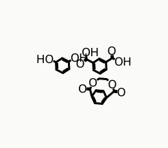 O=C(O)c1cccc(C(=O)O)c1.O=C1OCCOC(=O)c2ccc1cc2.Oc1cccc(O)c1